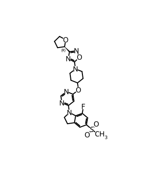 CS(=O)(=O)c1cc(F)c2c(c1)CCN2c1cc(OC2CCN(c3nc([C@H]4CCCO4)no3)CC2)ncn1